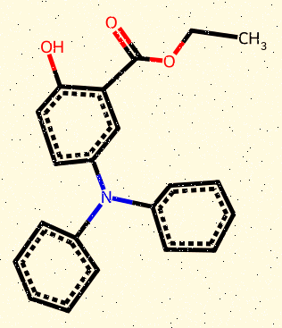 CCOC(=O)c1cc(N(c2ccccc2)c2ccccc2)ccc1O